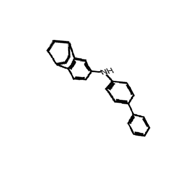 c1ccc(-c2ccc(Nc3ccc4c(c3)C3CCC4CC3)cc2)cc1